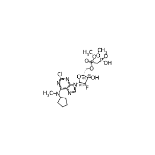 COP(=O)(O)CP(=O)(OC)OC[C@H]1O[C@@H](n2cnc3c(N(C)C4CCCC4)nc(Cl)nc32)[C@@H](F)[C@@H]1O